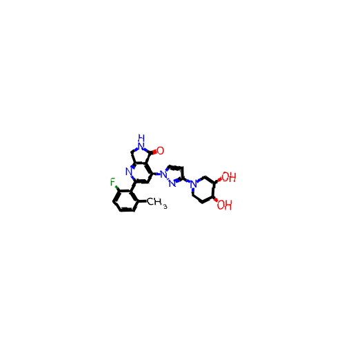 Cc1cccc(F)c1-c1cc(-n2ccc(N3CCC(O)C(O)C3)n2)c2c(n1)CNC2=O